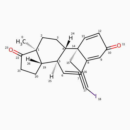 C[C@]12CC[C@H]3[C@@H](C=CC4=CC(=O)C=C[C@@]43CC#CI)[C@@H]1CCC2=O